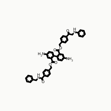 Nc1ccc(-c2ccc(N)cc2C(=O)OCc2ccc(C(=O)NCc3ccccc3)cc2)c(C(=O)OCc2ccc(C(=O)CNc3ccccc3)cc2)c1